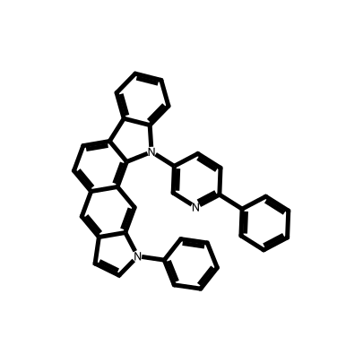 c1ccc(-c2ccc(-n3c4ccccc4c4ccc5cc6ccn(-c7ccccc7)c6cc5c43)cn2)cc1